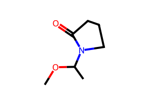 COC(C)N1CCCC1=O